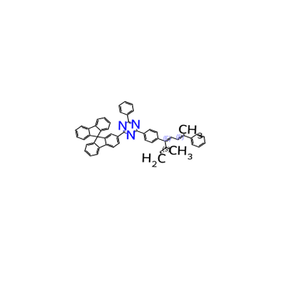 C=C[C@H](C)/C(=C\C=C(/C)c1ccccc1)c1ccc(-c2nc(-c3ccccc3)nc(-c3ccc4c(c3)C3(c5ccccc5-c5ccccc53)c3ccccc3-4)n2)cc1